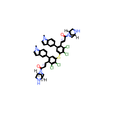 Cn1ccc2cc(-c3cc(Sc4cc(-c5ccc6c(ccn6C)c5)c(/C=C/C(=O)N5C[C@@H]6C[C@H]5CN6)c(Cl)c4Cl)c(Cl)c(Cl)c3/C=C/C(=O)N3C[C@@H]4C[C@H]3CN4)ccc21